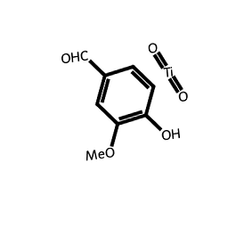 COc1cc(C=O)ccc1O.[O]=[Ti]=[O]